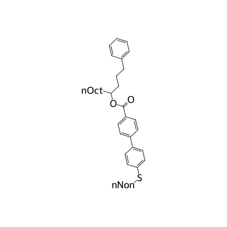 CCCCCCCCCSc1ccc(-c2ccc(C(=O)OC(CCCCCCCC)CCCc3ccccc3)cc2)cc1